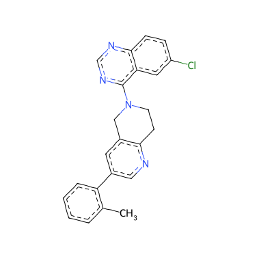 Cc1ccccc1-c1cnc2c(c1)CN(c1ncnc3ccc(Cl)cc13)CC2